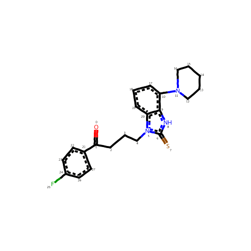 O=C(CCCn1c(=S)[nH]c2c(N3CCCCC3)cccc21)c1ccc(F)cc1